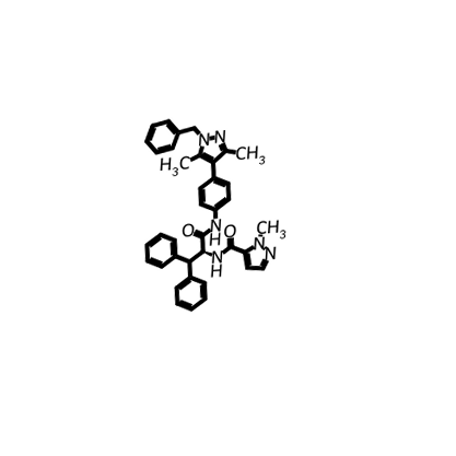 Cc1nn(Cc2ccccc2)c(C)c1-c1ccc(NC(=O)[C@@H](NC(=O)c2ccnn2C)C(c2ccccc2)c2ccccc2)cc1